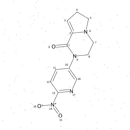 O=C1C2=CCCN2CCN1c1ccc([N+](=O)[O-])nc1